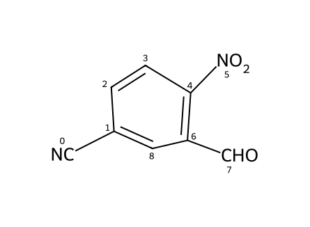 N#Cc1ccc([N+](=O)[O-])c(C=O)c1